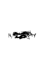 Clc1ccc(C2CC2)cc1.NC1=N[C@@H](CCc2ccc(NC(=O)O)cc2)CO1